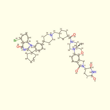 O=C1CCC(N2Cc3c(ccc4c3OC[C@H]3CN(C(=O)C5CCC(CN6CCC(c7ccc8c(c7)-n7c(nc(=O)c9c(Br)cccc97)C87CCCCC7)CC6)CC5)CCN43)C2=O)C(=O)N1